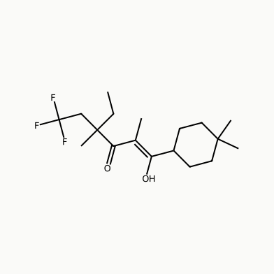 CCC(C)(CC(F)(F)F)C(=O)/C(C)=C(\O)C1CCC(C)(C)CC1